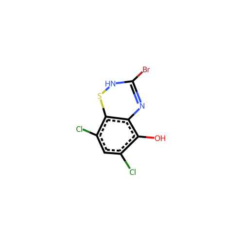 Oc1c(Cl)cc(Cl)c2c1N=C(Br)NS2